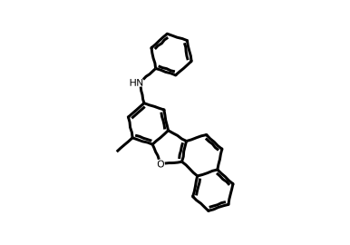 Cc1cc(Nc2ccccc2)cc2c1oc1c3ccccc3ccc21